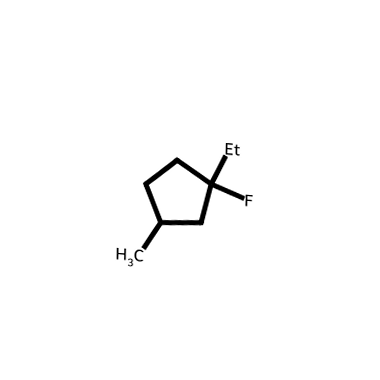 CCC1(F)CCC(C)C1